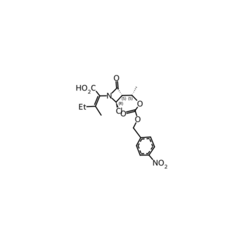 CCC(C)=C(C(=O)O)N1C(=O)[C@H]([C@H](C)OC(=O)OCc2ccc([N+](=O)[O-])cc2)[C@H]1Cl